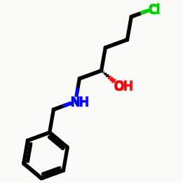 O[C@@H](CCCCl)CNCc1ccccc1